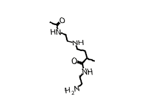 CC(=O)NCCNCCC(C)C(=O)NCCN